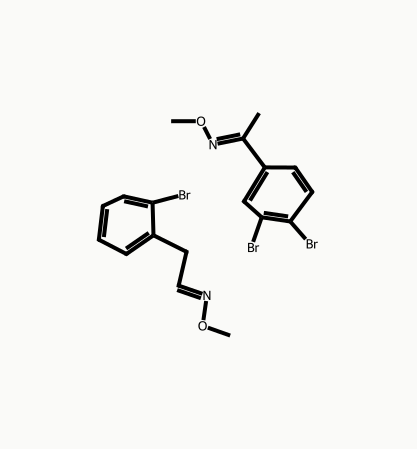 CON=C(C)c1ccc(Br)c(Br)c1.CON=CCc1ccccc1Br